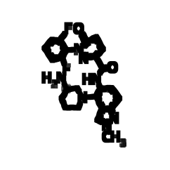 Cn1cc2c(N3CCC[C@@H](N)C3)c(NC(=O)c3ccc(=O)n(-c4c(F)cccc4F)n3)ccc2n1